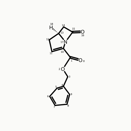 O=C(OCc1ccccc1)C1=CC[C@H]2CC(=O)N12